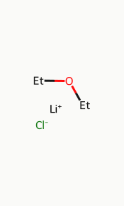 CCOCC.[Cl-].[Li+]